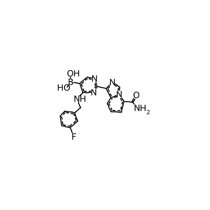 NC(=O)c1cccc2c(-c3ncc(B(O)O)c(NCc4cccc(F)c4)n3)ncn12